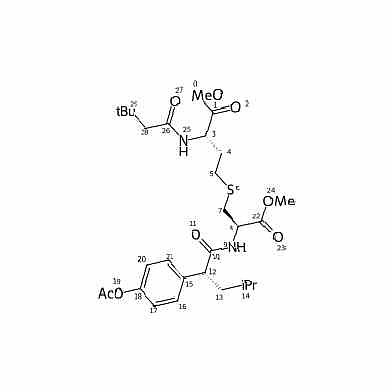 COC(=O)[C@H](CCSC[C@H](NC(=O)[C@H](CC(C)C)c1ccc(OC(C)=O)cc1)C(=O)OC)NC(=O)CC(C)(C)C